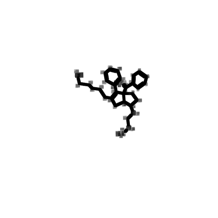 C=C(c1ccccc1)C12CCC(OCOC)C1CC(CCCCCO)=C2c1ccccc1